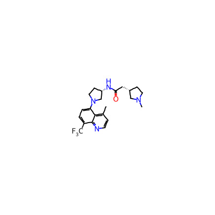 Cc1ccnc2c(C(F)(F)F)ccc(N3CC[C@H](NC(=O)C[C@@H]4CCN(C)C4)C3)c12